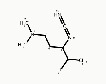 CC(I)C(CCN(C)C)N=C=N